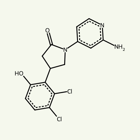 Nc1cc(N2CC(c3c(O)ccc(Cl)c3Cl)CC2=O)ccn1